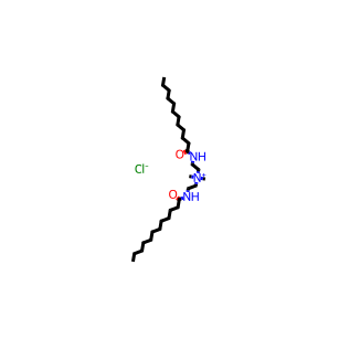 CCCCCCCCCCCC(=O)NCC[N+](C)(C)CCNC(=O)CCCCCCCCCCC.[Cl-]